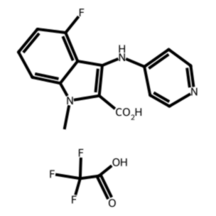 Cn1c(C(=O)O)c(Nc2ccncc2)c2c(F)cccc21.O=C(O)C(F)(F)F